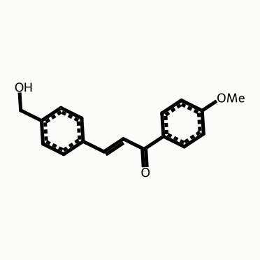 COc1ccc(C(=O)C=Cc2ccc(CO)cc2)cc1